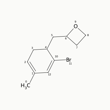 CC1=CCC(CC2CCO2)C(Br)=C1